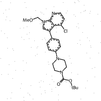 COCn1cc(-c2ccc(N3CCN(C(=O)OC(C)(C)C)CC3)cc2)c2c(Cl)ccnc21